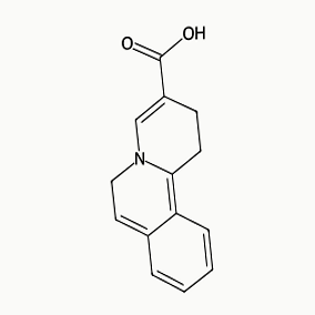 O=C(O)C1=CN2CC=c3ccccc3=C2CC1